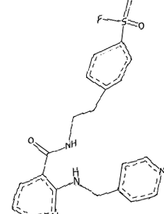 O=C(NCCc1ccc(S(=O)(=O)F)cc1)c1cccnc1NCc1ccncc1